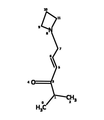 CC(C)C(=O)/C=C/CN1CCC1